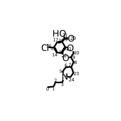 CCCCN1CCC(CC2COc3c(cc(Cl)cc3C(=O)O)O2)CC1